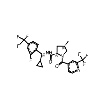 C[C@@H]1C[C@H](C(=O)N[C@@H](c2ccc(C(F)(F)F)cc2F)C2CC2)N(C(=O)c2ccnc(C(F)(F)F)c2)C1